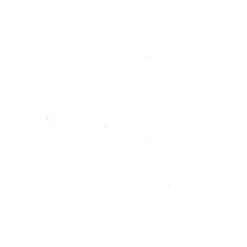 CC[N+]1=C(/C=C/C2=C3CCCC=C3Oc3cc(N)ccc32)C(C)(C)c2cc(I)ccc21